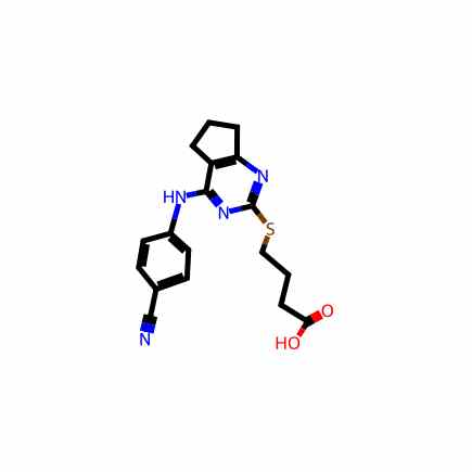 N#Cc1ccc(Nc2nc(SCCCC(=O)O)nc3c2CCC3)cc1